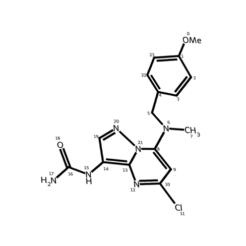 COc1ccc(CN(C)c2cc(Cl)nc3c(NC(N)=O)cnn23)cc1